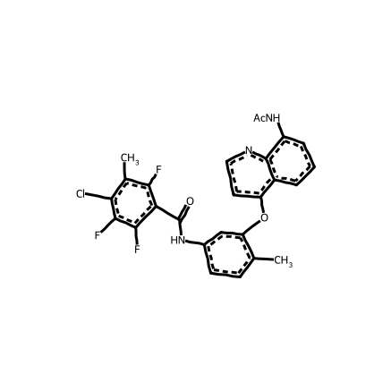 CC(=O)Nc1cccc2c(Oc3cc(NC(=O)c4c(F)c(C)c(Cl)c(F)c4F)ccc3C)ccnc12